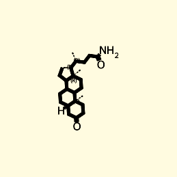 C[C@H](CCC(N)=O)[C@H]1CCC2C3CC[C@H]4CC(=O)CC[C@]4(C)C3CC[C@@]21C